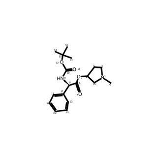 CN1CCC(OC(=O)[C@H](NC(=O)OC(C)(C)C)c2ccccc2)C1